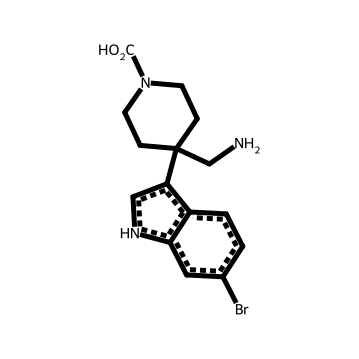 NCC1(c2c[nH]c3cc(Br)ccc23)CCN(C(=O)O)CC1